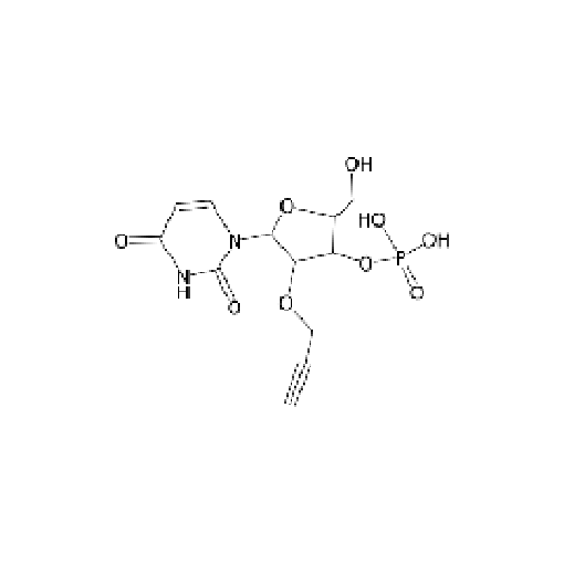 C#CCOC1C(OP(=O)(O)O)C(CO)OC1n1ccc(=O)[nH]c1=O